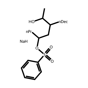 CCCCCCCCCCC(CC(CCC)OS(=O)(=O)c1ccccc1)C(C)O.[NaH]